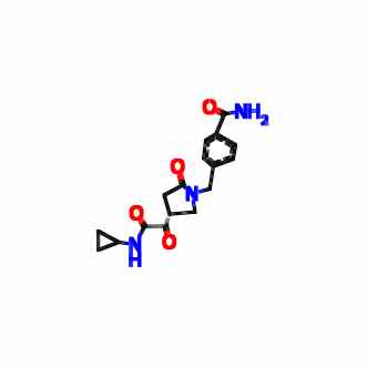 NC(=O)c1ccc(CN2C[C@H](C(=O)C(=O)NC3CC3)CC2=O)cc1